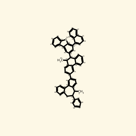 CC1c2ccc(-c3ccc4c(c3)-c3ccccc3C(c3cc(-c5cccc6ccccc56)c5sc6ccccc6c5c3)C4C)cc2-c2ccccc2CC1c1ccccc1